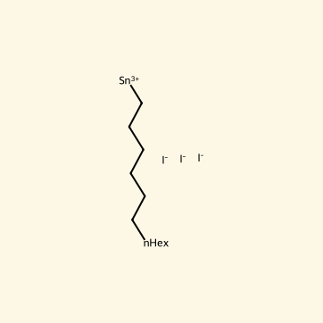 CCCCCCCCCCC[CH2][Sn+3].[I-].[I-].[I-]